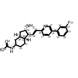 N[C@H]1C[C@@H]2CC(NC(=O)O)CC[C@H]2[C@@H]1C=Cc1ccc(-c2cccc(F)c2)cn1